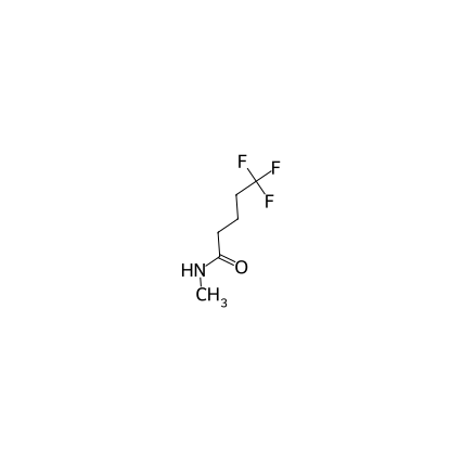 CNC(=O)CCCC(F)(F)F